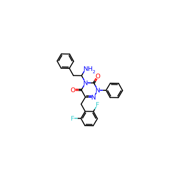 NC(Cc1ccccc1)n1c(=O)c(Cc2c(F)cccc2F)nn(-c2ccccc2)c1=O